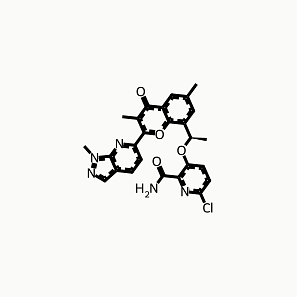 Cc1cc([C@@H](C)Oc2ccc(Cl)nc2C(N)=O)c2oc(-c3ccc4cnn(C)c4n3)c(C)c(=O)c2c1